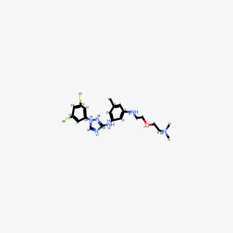 Cc1cc(NCCOCCN(C)C)cc(Nc2ncn(-c3cc(F)cc(F)c3)n2)c1